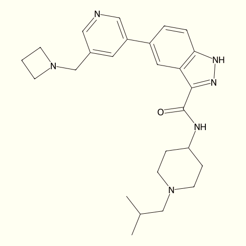 CC(C)CN1CCC(NC(=O)c2n[nH]c3ccc(-c4cncc(CN5CCC5)c4)cc23)CC1